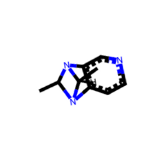 CC1N2c3ccncc3N1[C@@H]2C